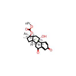 CCCOC(=O)O[C@]1(C(C)=O)[C@@H](C)C[C@H]2[C@@H]3CC(=O)C4=CC(=O)C=C[C@]4(C)[C@@]3(F)[C@@H](O)C[C@@]21C